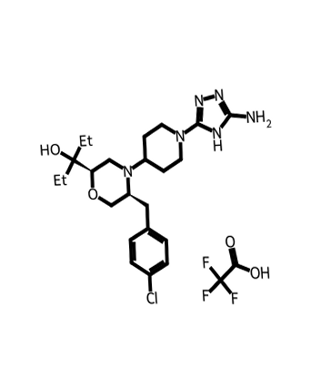 CCC(O)(CC)[C@H]1CN(C2CCN(c3nnc(N)[nH]3)CC2)[C@@H](Cc2ccc(Cl)cc2)CO1.O=C(O)C(F)(F)F